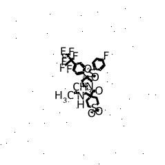 CC(C)NCC1(C(=O)N2CC[C@](c3ccc(C(F)(C(F)(F)F)C(F)(F)F)cc3)(S(=O)(=O)c3ccc(F)cc3)C2)CCS(=O)(=O)CC1